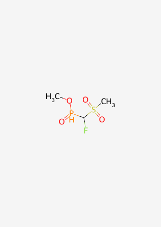 CO[PH](=O)C(F)S(C)(=O)=O